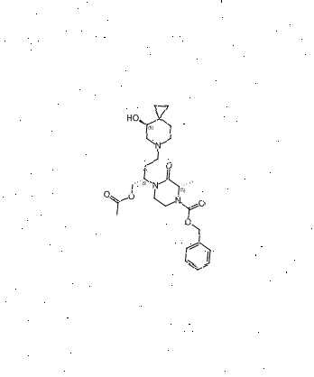 CC(=O)OC[C@H](CCN1CCC2(CC2)[C@H](O)C1)N1CCN(C(=O)OCc2ccccc2)[C@@H](C)C1=O